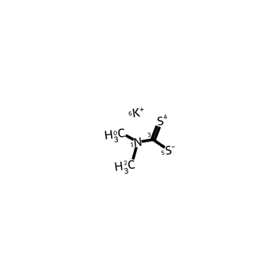 CN(C)C(=S)[S-].[K+]